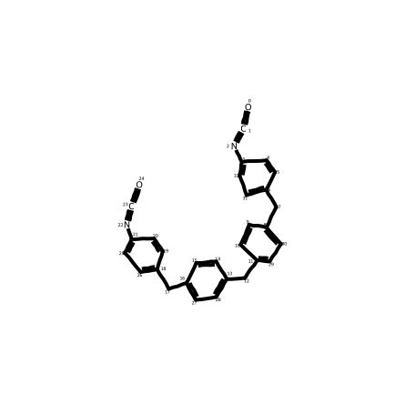 O=C=Nc1ccc(Cc2ccc(Cc3ccc(Cc4ccc(N=C=O)cc4)cc3)cc2)cc1